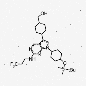 CC(C)(C)[Si](C)(C)OC1CCC(n2cc(C3CCC(CO)CC3)c3cnc(NCCC(F)(F)F)nc32)CC1